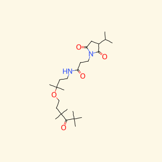 CC(C)C1CC(=O)N(CCC(=O)NCCC(C)(C)OCCC(C)(C)C(=O)C(C)(C)C)C1=O